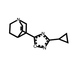 C1=C(c2nc(C3CC3)no2)C2CCN1CC2